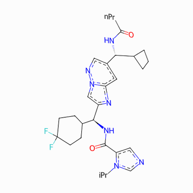 CCCC(=O)N[C@@H](c1cnn2cc([C@@H](NC(=O)c3cncn3C(C)C)C3CCC(F)(F)CC3)nc2c1)C1CCC1